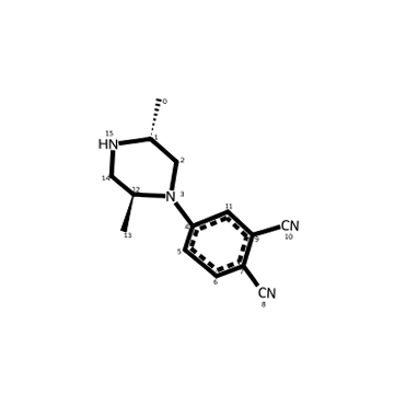 C[C@@H]1CN(c2ccc(C#N)c(C#N)c2)[C@@H](C)CN1